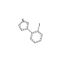 Ic1ccccc1-c1ccsc1